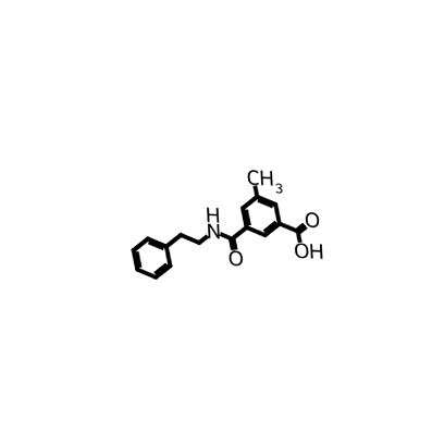 Cc1cc(C(=O)O)cc(C(=O)NCCc2ccccc2)c1